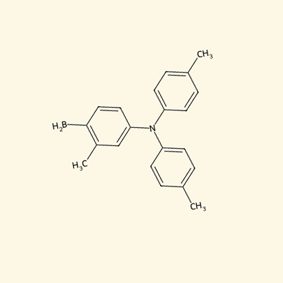 Bc1ccc(N(c2ccc(C)cc2)c2ccc(C)cc2)cc1C